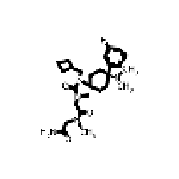 CN(CC(N)=O)C(=O)CN1C[C@]2(CC[C@](c3cccc(F)c3)(N(C)C)CC2)N(CC2CCC2)C1=O